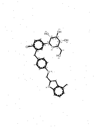 Cc1cccc2c1CC(COc1ccc(Cc3cc([C@@H]4O[C@H](CO)[C@@H](O)[C@H](O)[C@H]4O)ccc3Cl)cc1)O2